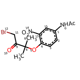 CC(=O)Nc1ccc(OC(C)(C)C(=O)CBr)c([N+](=O)[O-])c1